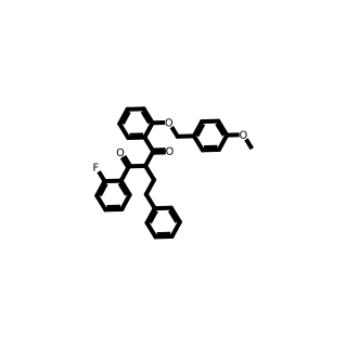 COc1ccc(COc2ccccc2C(=O)C(CCc2ccccc2)C(=O)c2ccccc2F)cc1